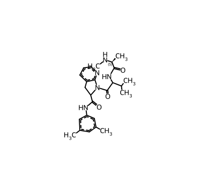 CN[C@@H](C)C(=O)NC(C(=O)N1c2ncccc2CC1C(=O)Nc1cc(C)cc(C)c1)C(C)C